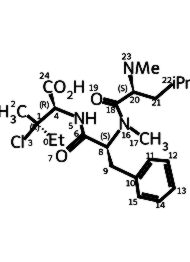 CC[C@@](C)(Cl)[C@H](NC(=O)[C@H](Cc1ccccc1)N(C)C(=O)[C@H](CC(C)C)NC)C(=O)O